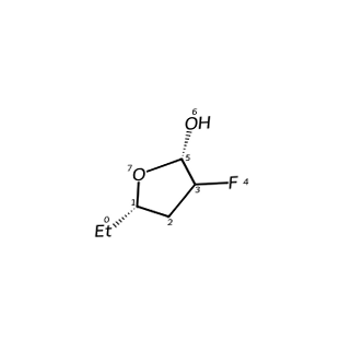 CC[C@H]1CC(F)[C@@H](O)O1